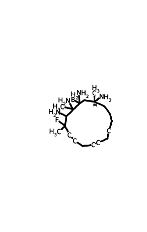 BC1(N)C[C@](C)(N)CCCCCCCCCCC(C)(F)C(N)C1(C)N